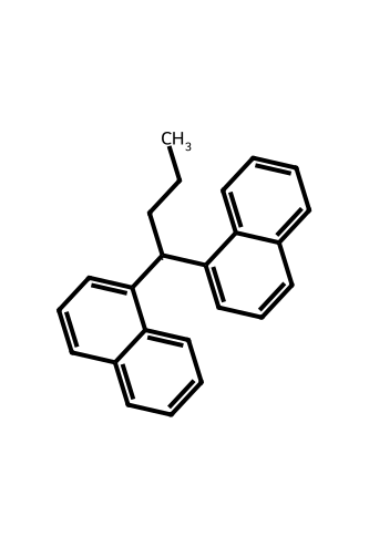 CCC[C](c1cccc2ccccc12)c1cccc2ccccc12